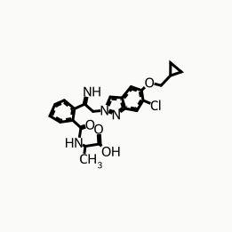 CC(NC(=O)c1ccccc1C(=N)Cn1cc2cc(OCC3CC3)c(Cl)cc2n1)C(=O)O